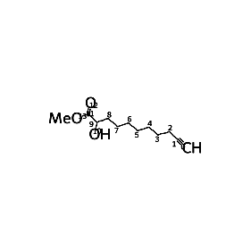 C#CCCCCCCCC(O)C(=O)OC